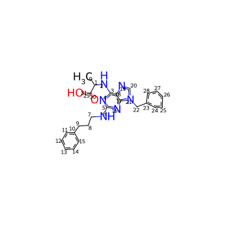 CC(Nc1nc(NCCCc2ccccc2)nc2c1ncn2Cc1ccccc1)C(=O)O